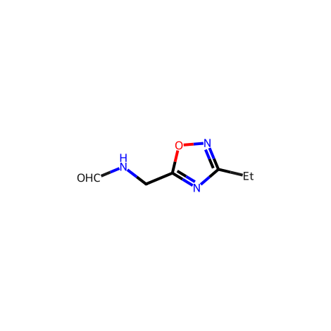 CCc1noc(CNC=O)n1